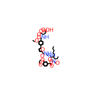 CCCCCC(C(=O)NCNC(=O)c1ccc(-c2ccc(C(=O)NC(CC(=O)O)C(=O)O)c(OCC)c2)o1)C(CC)N(C=O)OC(=O)c1ccc2c(c1)OCCO2